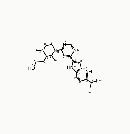 CC1C(CCO)N(C)CCN1c1cc(-c2cnc(/C=C\C(=N)C(F)F)[nH]2)ncn1